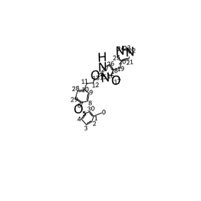 Cc1cccc(Oc2ccc(CCOc3nc(=O)c(Cc4cncnc4)c[nH]3)cc2)c1